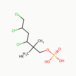 CC(C)(COP(=O)(O)O)C(Cl)CC(Cl)CCl.[KH]